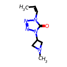 C/C=C\n1nnn(C2CN(C)C2)c1=O